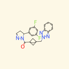 O=C(N1N=CCC1c1cc(F)cc(F)c1)C12CC(Cn3nc4ccccc4n3)(C1)C2